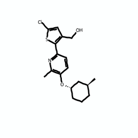 Cc1nc(-c2sc(Cl)cc2CO)ccc1O[C@H]1CCC[C@H](C)C1